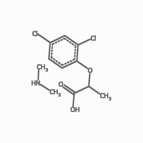 CC(Oc1ccc(Cl)cc1Cl)C(=O)O.CNC